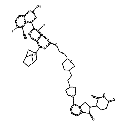 C#Cc1c(F)ccc2cc(O)cc(-c3ncc4c(N5CC6CCC(C5)N6)nc(OCCN5CCC(CCC6CCN(c7cccc8c7CN(C7CCC(=O)NC7=O)C8=O)CC6)CC5)nc4c3F)c12